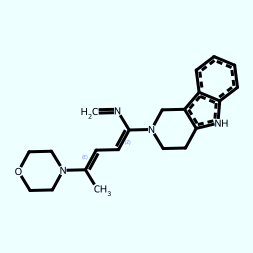 C=N/C(=C\C=C(/C)N1CCOCC1)N1CCc2[nH]c3ccccc3c2C1